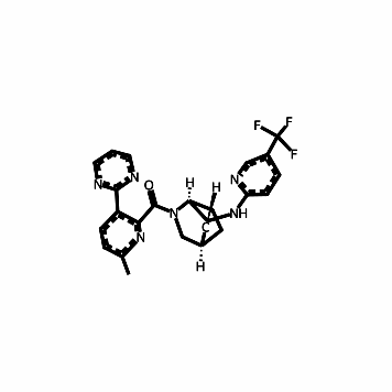 Cc1ccc(-c2ncccn2)c(C(=O)N2C[C@@H]3CC[C@H]2[C@H](Nc2ccc(C(F)(F)F)cn2)C3)n1